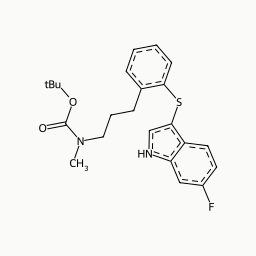 CN(CCCc1ccccc1Sc1c[nH]c2cc(F)ccc12)C(=O)OC(C)(C)C